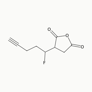 C#CCCC(F)C1CC(=O)OC1=O